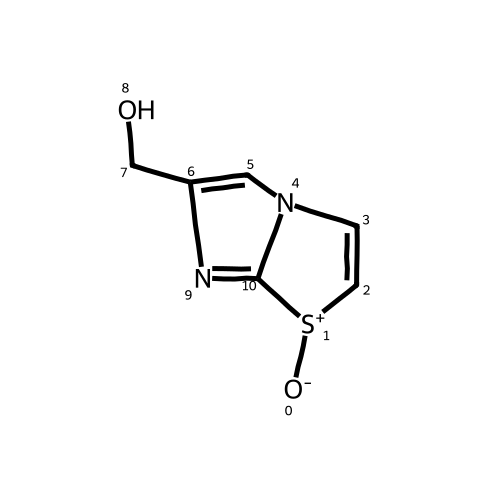 [O-][s+]1ccn2cc(CO)nc21